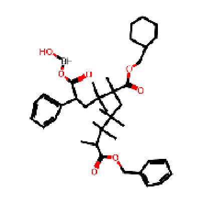 CC(C(=O)OCc1ccccc1)C(C)(C)C(C)(C)CC(C)(C(=O)OCC1CCCCC1)C(C)(C)CC(C(=O)OBO)c1ccccc1